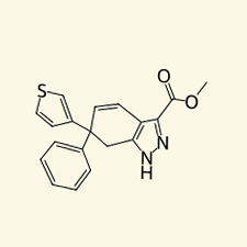 COC(=O)c1n[nH]c2c1C=CC(c1ccccc1)(c1ccsc1)C2